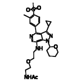 CC(=O)NCCOCCNc1cnc(-c2ccc(S(C)(=O)=O)c(C)c2)c2c(C3CC3)nn(C3CCCCO3)c12